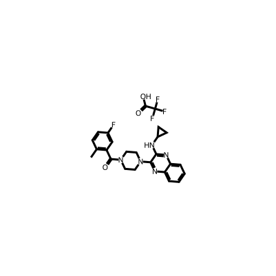 Cc1ccc(F)cc1C(=O)N1CCN(c2nc3ccccc3nc2NC2CC2)CC1.O=C(O)C(F)(F)F